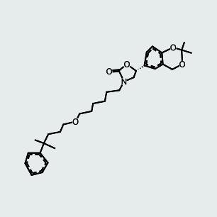 CC1(C)OCc2cc([C@@H]3CN(CCCCCCOCCCC(C)(C)c4ccccc4)C(=O)O3)ccc2O1